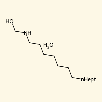 CCCCCCCCCCCCCCNCO.O